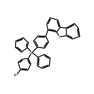 Brc1ccc([Si](c2ccccc2)(c2ccccc2)c2ccc(-c3cccc4c3sc3ccccc34)cc2)cc1